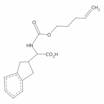 C=CCCCOC(=O)NC(C(=O)O)C1Cc2ccccc2C1